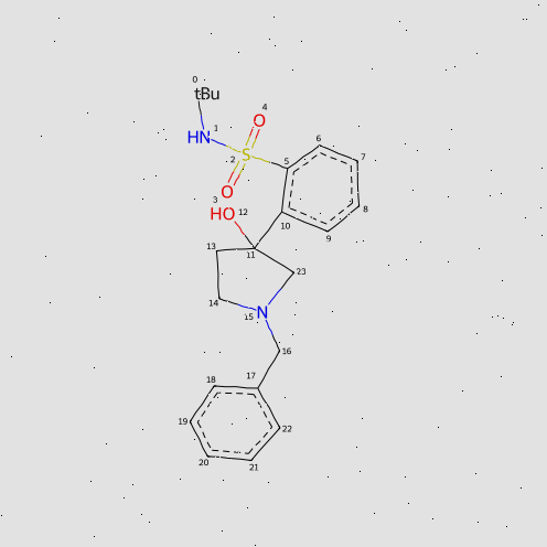 CC(C)(C)NS(=O)(=O)c1ccccc1C1(O)CCN(Cc2ccccc2)C1